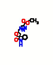 CCOC(=O)c1cn(CC2CC3(CO2)C(=O)Nc2ccccc23)nn1